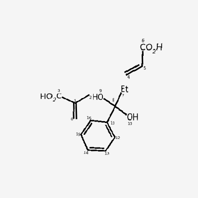 C=C(C)C(=O)O.C=CC(=O)O.CCC(O)(O)c1ccccc1